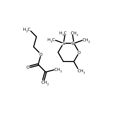 C=C(C)C(=O)OCCC.CC1CC[Si](C)(C)[Si](C)(C)O1